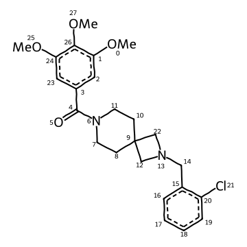 COc1cc(C(=O)N2CCC3(CC2)CN(Cc2ccccc2Cl)C3)cc(OC)c1OC